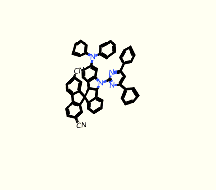 N#Cc1ccc2c(c1)C1(c3cc(C#N)ccc3-2)c2ccccc2C2C1c1ccc(N(c3ccccc3)c3ccccc3)cc1N2c1nc(-c2ccccc2)cc(-c2ccccc2)n1